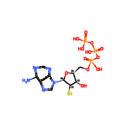 Nc1ncnc2c1ncn2[C@@H]1O[C@H](COP(=O)(O)OP(=O)(O)OP(=O)(O)O)[C@H](O)[C@H]1S